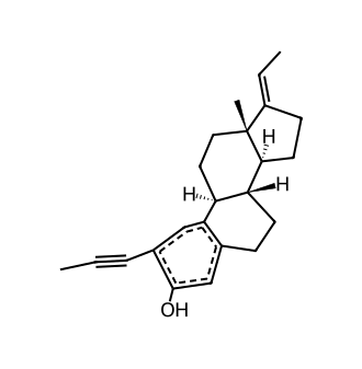 CC#Cc1cc2c(cc1O)CC[C@@H]1[C@@H]2CC[C@]2(C)C(=CC)CC[C@@H]12